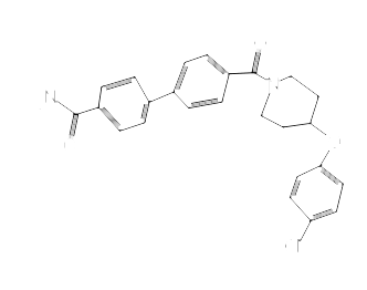 NC(=O)c1ccc(-c2ccc(C(=O)N3CCC(Oc4ccc(Cl)cc4)CC3)cc2)cc1